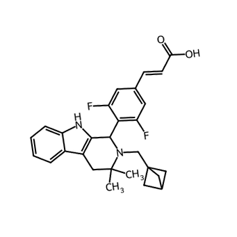 CC1(C)Cc2c([nH]c3ccccc23)C(c2c(F)cc(C=CC(=O)O)cc2F)N1CC12CC(C1)C2